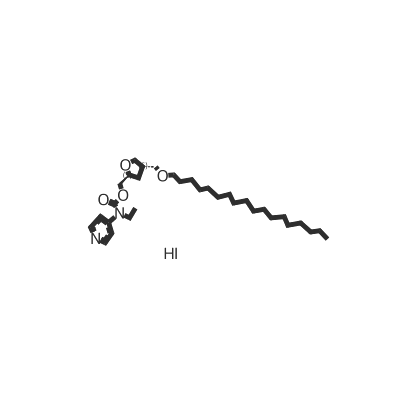 CCCCCCCCCCCCCCCCCCOC[C@H]1CO[C@H](COC(=O)N(CC)c2ccncc2)C1.I